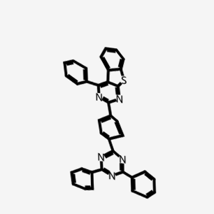 c1ccc(-c2nc(-c3ccccc3)nc(-c3ccc(-c4nc(-c5ccccc5)c5c(n4)sc4ccccc45)cc3)n2)cc1